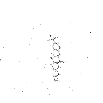 O=c1c2c(ncn1Cc1ccc(C(F)(F)F)nc1)CCN(CC1CCC1)C2